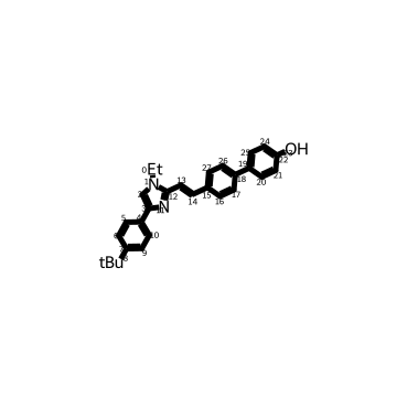 CCn1cc(-c2ccc(C(C)(C)C)cc2)nc1/C=C/c1ccc(-c2ccc(O)cc2)cc1